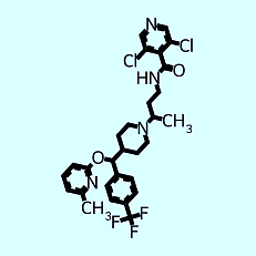 Cc1cccc(OC(c2ccc(C(F)(F)F)cc2)C2CCN(C(C)CCNC(=O)c3c(Cl)cncc3Cl)CC2)n1